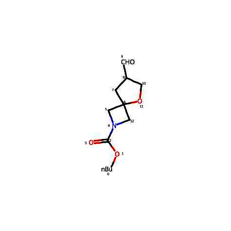 CCCCOC(=O)N1CC2(CC(C=O)CO2)C1